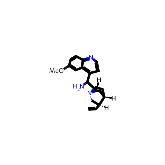 C=C[C@H]1C[N@]2CC[C@H]1C[C@H]2C(N)c1ccnc2ccc(OC)cc12